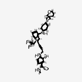 CNC(=O)c1ccc(NCC#Cc2cc3c(N[C@H]4CC[C@@H](N5CC6(CCCOC6)C5)CC4)cccc3n2CC(F)(F)F)c(OC)c1